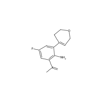 C=C(C)c1cc(F)cc(C2=CCOCC2)c1N